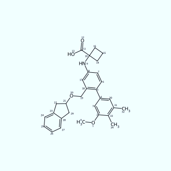 COc1cc(-c2ccc(NC3(C(=O)O)CCC3)cc2COC2Cc3ccccc3C2)cc(C)c1C